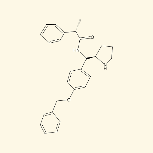 C[C@H](C(=O)NC(c1ccc(OCc2ccccc2)cc1)[C@H]1CCCN1)c1ccccc1